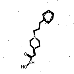 O=C(C=C1CCN(CCCc2ccccc2)CC1)NO